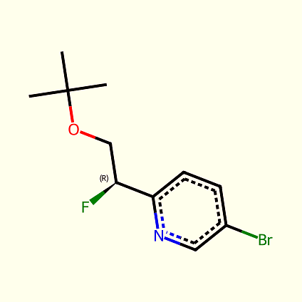 CC(C)(C)OC[C@H](F)c1ccc(Br)cn1